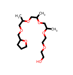 CC(COCC1CCCO1)OCC(C)OCC(C)OCCOCCO